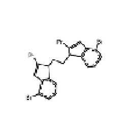 CC(C)C1=Cc2c(Br)cccc2C1CCC1C(C(C)C)=Cc2c(Br)cccc21